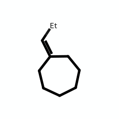 [CH2]CC=C1CCCCCC1